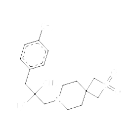 CC(C)(Cc1ccc(C(F)(F)F)cc1)CN1CCC2(CC1)CS(=O)(=O)C2